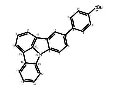 CC(C)(C)c1ccc(-c2ccc3c(c2)c2cccc4c5ccccc5n3c42)cc1